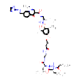 CSCC(=O)N[C@@H](CS(=O)(=O)O)C(=O)N[C@@H](CS(=O)(=O)O)C(=O)NCCNC(=O)CCCOc1cc(C)c(S(=O)(=O)N[C@@H](CNC(=O)c2cn(C)c3cc(CNc4ncc[nH]4)ccc3c2=O)C(=O)O)c(C)c1